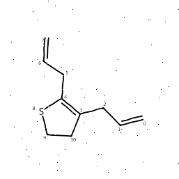 C=CCC1=C(CC=C)SCC1